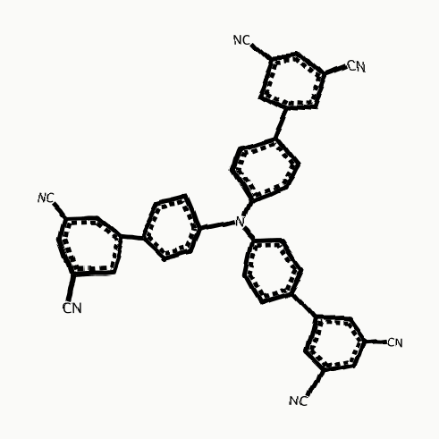 N#Cc1cc(C#N)cc(-c2ccc(N(c3ccc(-c4cc(C#N)cc(C#N)c4)cc3)c3ccc(-c4cc(C#N)cc(C#N)c4)cc3)cc2)c1